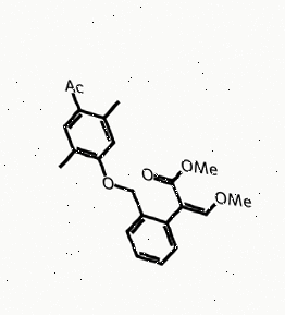 CO/C=C(\C(=O)OC)c1ccccc1COc1cc(C)c(C(C)=O)cc1C